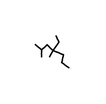 [CH2]CCC(C)(CC)CC(C)C